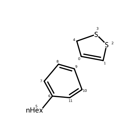 C1=CSSC1.CCCCCCc1ccccc1